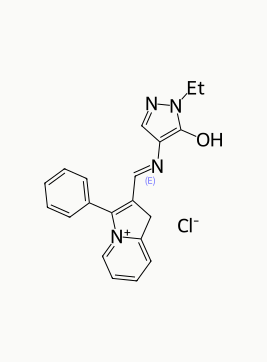 CCn1ncc(/N=C/C2=C(c3ccccc3)[n+]3ccccc3C2)c1O.[Cl-]